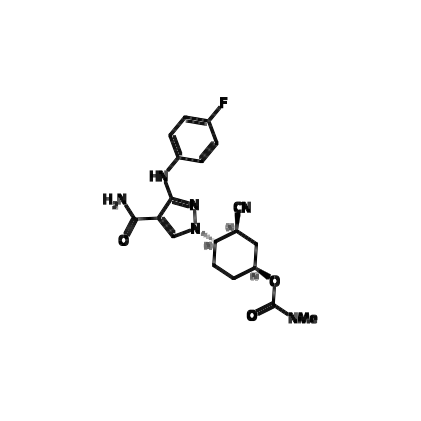 CNC(=O)O[C@H]1CC[C@H](n2cc(C(N)=O)c(Nc3ccc(F)cc3)n2)[C@@H](C#N)C1